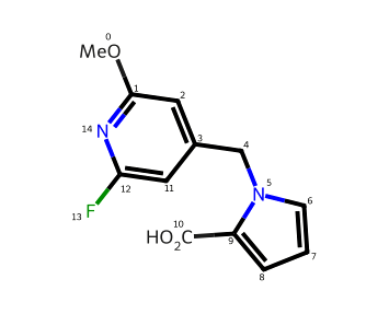 COc1cc(Cn2cccc2C(=O)O)cc(F)n1